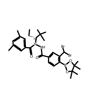 CC[C@@H](N(NC(=O)c1ccc(B2OC(C)(C)C(C)(C)O2)c(C(Br)Br)c1)C(=O)c1cc(C)cc(C)c1)C(C)(C)C